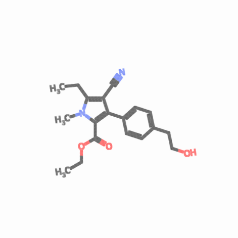 CCOC(=O)c1c(-c2ccc(CCO)cc2)c(C#N)c(CC)n1C